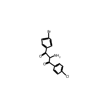 NC(C(=O)c1ccc(Cl)cc1)C(=O)c1ccc(Br)cc1